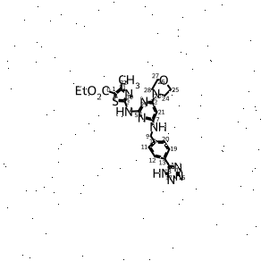 CCOC(=O)c1sc(Nc2nc(NCc3ccc(-c4nnn[nH]4)cc3)cc(N3CCOCC3)n2)nc1C